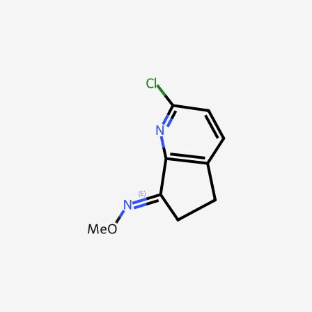 CO/N=C1\CCc2ccc(Cl)nc21